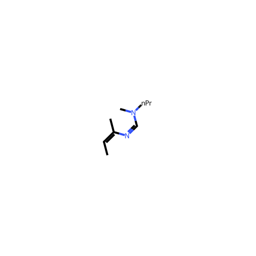 C/C=C(C)\N=C/N(C)CCC